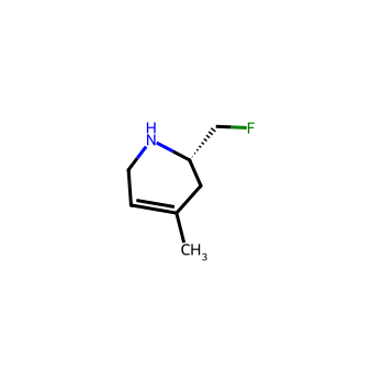 CC1=CCN[C@H](CF)C1